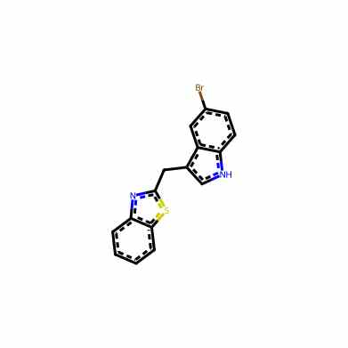 Brc1ccc2[nH]cc(Cc3nc4ccccc4s3)c2c1